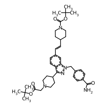 CC(C)(C)OC(=O)CN1CCC(c2nn(Cc3ccc(C(N)=O)cc3)c3cc(C=CC4CCN(C(=O)OC(C)(C)C)CC4)ccc23)CC1